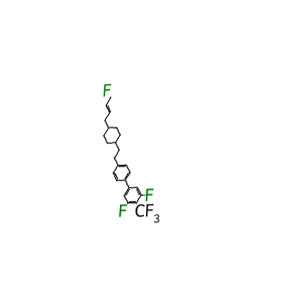 FC/C=C/CC1CCC(CCc2ccc(-c3cc(F)c(C(F)(F)F)c(F)c3)cc2)CC1